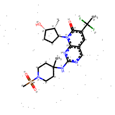 BC1(Nc2ncc3cc(C(B)(F)F)c(=O)n([C@H]4CC[C@H](O)[C@@H]4C)c3n2)CCN(S(C)(=O)=O)CC1